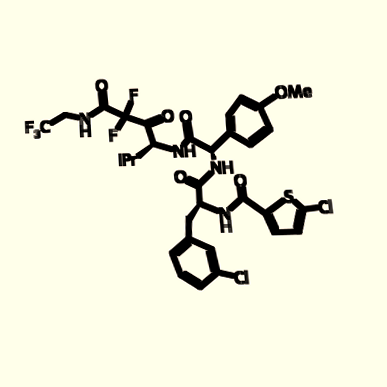 COc1ccc([C@H](NC(=O)[C@H](Cc2cccc(Cl)c2)NC(=O)c2ccc(Cl)s2)C(=O)N[C@H](C(=O)C(F)(F)C(=O)NCC(F)(F)F)C(C)C)cc1